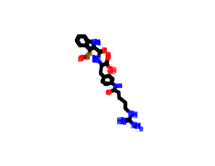 N=C(N)NCCCCC(=O)Nc1ccc(CC(NC(=O)c2[nH]c3ccccc3c2[S+]=O)C(=O)O)cc1